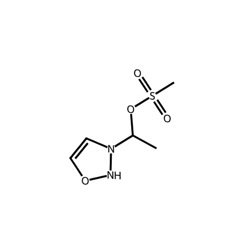 CC(OS(C)(=O)=O)N1C=CON1